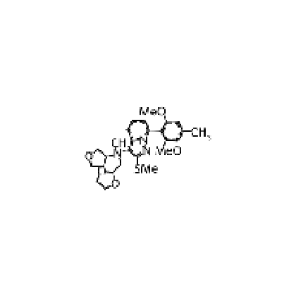 COc1cc(C)cc(OC)c1-c1cccc2c([N+](C)(CC3OCCO3)C3CCOC3)c(SC)nn12